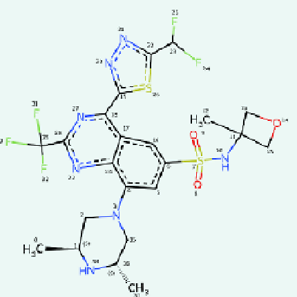 C[C@H]1CN(c2cc(S(=O)(=O)NC3(C)COC3)cc3c(-c4nnc(C(F)F)s4)nc(C(F)(F)F)nc23)C[C@H](C)N1